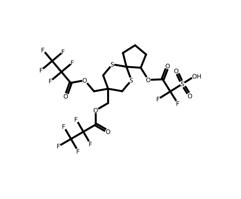 O=C(OCC1(COC(=O)C(F)(F)C(F)(F)F)CSC2(CCCC2OC(=O)C(F)(F)S(=O)(=O)O)SC1)C(F)(F)C(F)(F)F